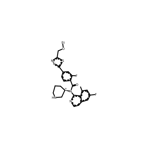 CCOCc1nnc(-c2ccc(C(=O)N(c3nccc4cc(F)cc(C)c34)[C@@H]3CCCNC3)c(F)c2)s1